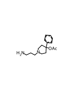 CC(=O)OC1(c2ccccc2)CCN(CCCN)CC1